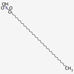 CCCCCCCCCCCCCCCCCCCCCCCCCCCCCCCCCCCCCCCCOC(=O)/C=C/C(=O)O